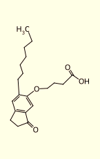 CCCCCCCc1cc2c(cc1OCCCC(=O)O)C(=O)CC2